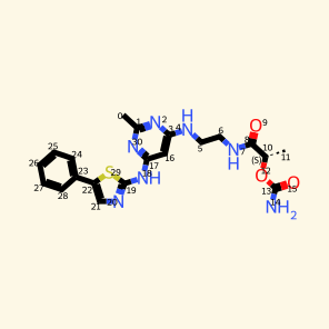 Cc1nc(NCCNC(=O)[C@H](C)OC(N)=O)cc(Nc2ncc(-c3ccccc3)s2)n1